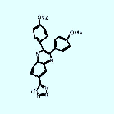 COc1ccc(-c2nc3ccc(-c4nnn[nH]4)cc3nc2-c2ccc(OC)cc2)cc1